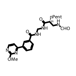 CCCCC[C@H](CNC=O)C(=O)NCNC(=O)c1cccc(-c2ccnc(OC)n2)c1